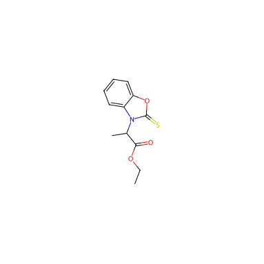 CCOC(=O)C(C)n1c(=S)oc2ccccc21